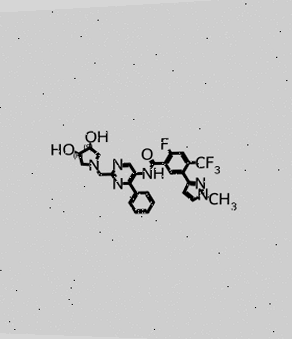 Cn1ccc(-c2cc(C(=O)Nc3cnc(CN4C[C@@H](O)[C@@H](O)C4)nc3-c3ccccc3)c(F)cc2C(F)(F)F)n1